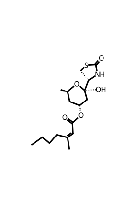 CCCC/C(C)=C\C(=O)O[C@@H]1C[C@@H](C)O[C@@](O)([C@@H]2CSC(=O)N2)C1